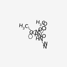 CCCCOC1(C2CCCCC2)CCN(C(=O)C(Cc2ccc(OC)cc2)NC(=O)NCCC2=NCN=C2)CC1